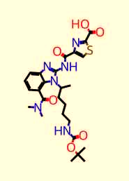 CC(CCCCNC(=O)OC(C)(C)C)n1c(NC(=O)c2csc(C(=O)O)n2)nc2cccc(C(=O)N(C)C)c21